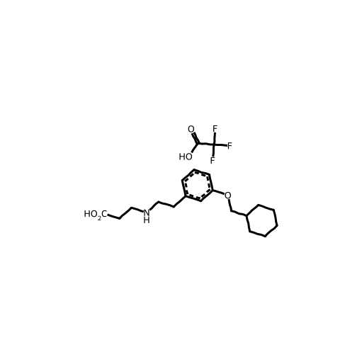 O=C(O)C(F)(F)F.O=C(O)CCNCCc1cccc(OCC2CCCCC2)c1